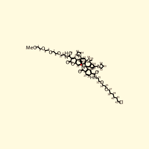 COCCOCCOCCOCCNC(=O)c1cc2ccc(N3C(=O)c4ccc(C(=O)NCCOCCOCCCCCCCl)cc4C34c3ccc(N5CCC5)cc3[Si](C)(C)c3cc(N5CCC5)ccc34)cc2oc1=O